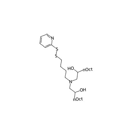 CCCCCCCCC(O)CN(CCCCSSc1ccccn1)CC(O)CCCCCCCC